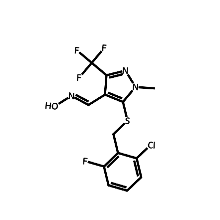 Cn1nc(C(F)(F)F)c(C=NO)c1SCc1c(F)cccc1Cl